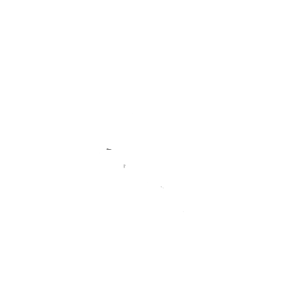 O=C(O)CN1CC(c2cccs2)SCC(N[C@H](CCc2ccccc2)C(=O)O)C1=O